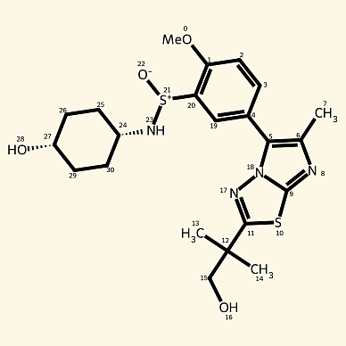 COc1ccc(-c2c(C)nc3sc(C(C)(C)CO)nn23)cc1[S+]([O-])N[C@H]1CC[C@@H](O)CC1